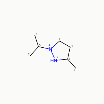 CC1CCN(C(C)C)N1